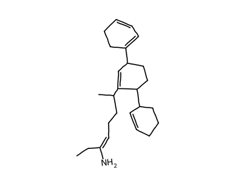 CC/C(N)=C\CCC(C)C1=CC(C2=CC=CCC2)CCC1C1C=CCCC1